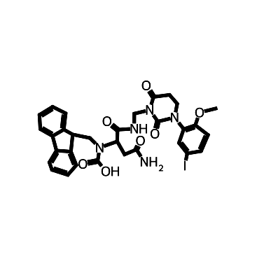 COc1ccc(I)cc1N1CCC(=O)N(CNC(=O)C(CC(N)=O)N(CC2c3ccccc3-c3ccccc32)C(=O)O)C1=O